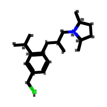 CC(Cc1ccc(CCl)cc1C(C)C)CN1C(C)CCC1C